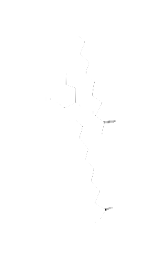 CC(CO)CCO.CCCCCCCCCC(=O)O.CCCCCCCCCC(=O)O